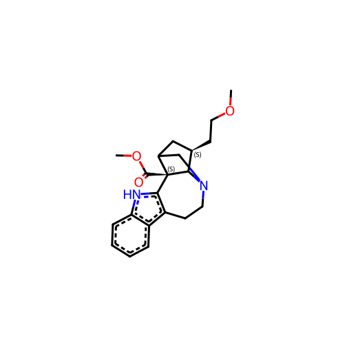 COCC[C@@H]1CC2CN3CCc4c([nH]c5ccccc45)[C@@]2(C(=O)OC)C13